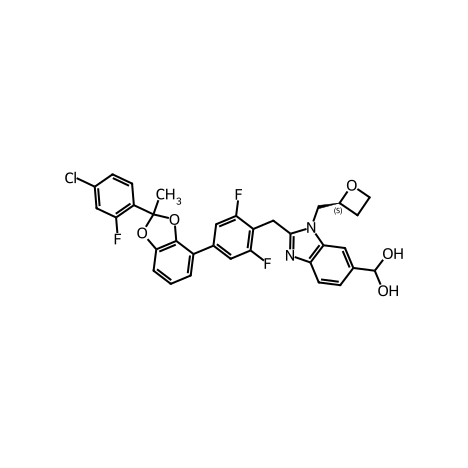 CC1(c2ccc(Cl)cc2F)Oc2cccc(-c3cc(F)c(Cc4nc5ccc(C(O)O)cc5n4C[C@@H]4CCO4)c(F)c3)c2O1